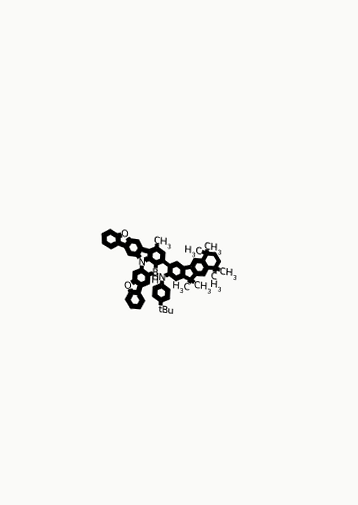 Cc1cc(-c2cc3c(cc2Nc2ccc(C(C)(C)C)cc2)C(C)(C)c2cc4c(cc2-3)C(C)(C)CCC4(C)C)c2c3c1c1cc4oc5ccccc5c4cc1n3-c1cc3oc4ccccc4c3cc1B2